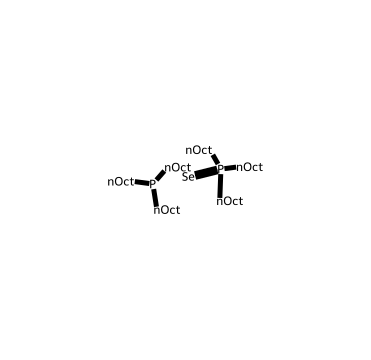 CCCCCCCCP(=[Se])(CCCCCCCC)CCCCCCCC.CCCCCCCCP(CCCCCCCC)CCCCCCCC